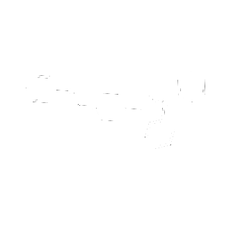 Fc1ccc2c(C3CCN(C(=S)Nc4ccccc4)CC3)nn(-c3ccccc3)c2c1